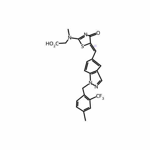 Cc1ccc(Cn2ncc3cc(/C=C4\SC(N(C)CC(=O)O)=NC4=O)ccc32)c(C(F)(F)F)c1